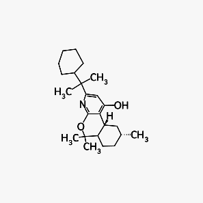 C[C@@H]1CCC2[C@@H](C1)c1c(O)cc(C(C)(C)C3CCCCC3)nc1OC2(C)C